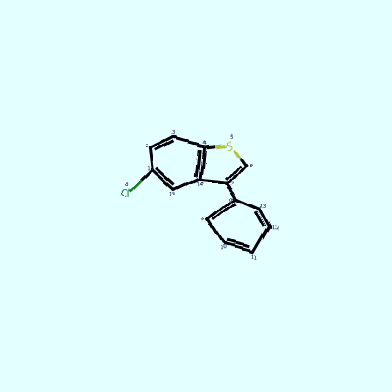 Clc1ccc2scc(-c3ccccc3)c2c1